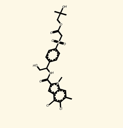 Cc1cc2c(cc(C(=O)NC(CO)c3ccc(S(=O)(=O)CC(=O)OCC(C)(C)O)cc3)n2C)c(Cl)c1Cl